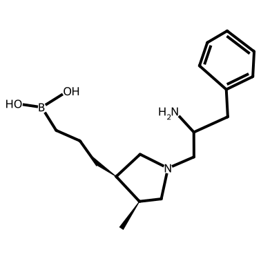 C[C@@H]1CN(CC(N)Cc2ccccc2)C[C@@H]1CCCB(O)O